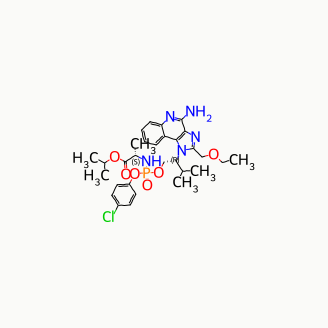 CCOCc1nc2c(N)nc3ccccc3c2n1[C@@H](COP(=O)(N[C@@H](C)C(=O)OC(C)C)Oc1ccc(Cl)cc1)C(C)C